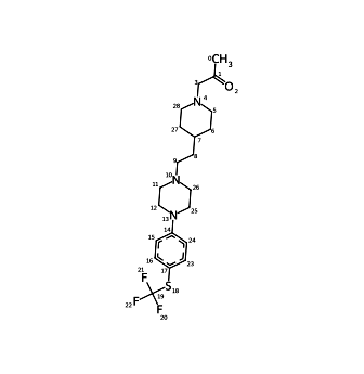 CC(=O)CN1CCC(CCN2CCN(c3ccc(SC(F)(F)F)cc3)CC2)CC1